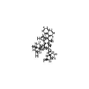 C#Cc1cccc2cccc(-c3ncc4c(N5CC[C@@H]6CNC[C@@H]65)nc(OC[C@@]56CCCN5C[C@H](F)C6)nc4c3F)c12